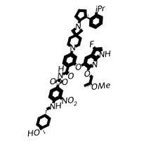 CO[C@H](C)COc1nc2[nH]cc(F)c2cc1Oc1cc(N2CCC3(CC2)CN(C2CCC[C@H]2c2ccccc2C(C)C)C3)ccc1C(=O)NS(=O)(=O)c1ccc(NC[C@H]2CC[C@](C)(O)CC2)c([N+](=O)[O-])c1